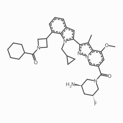 COc1cc(C(=O)N2C[C@H](N)C[C@@H](F)C2)cn2nc(-c3cc4cccc(C5CN(C(=O)C6CCCCC6)C5)c4n3CC3CC3)c(C)c12